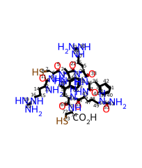 CC(C)(NC(=O)[C@H](CS)NC(=O)[C@@H](N)CCCNC(=N)N)C(=O)N[C@@H](CCCNC(=N)N)C(=O)N[C@H](Cc1ccccc1)C(=O)N[C@@H](CCCNC(N)=O)C(=O)N[C@H](Cc1c[nH]c2ccccc12)C(=O)N[C@@H](CS)C(=O)O